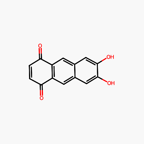 O=C1C=CC(=O)c2cc3cc(O)c(O)cc3cc21